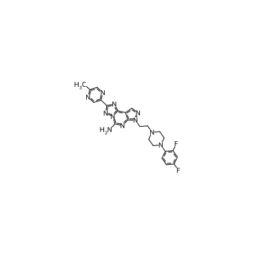 Cc1cnc(-c2nc3c4cnn(CCN5CCN(c6ccc(F)cc6F)CC5)c4nc(N)n3n2)cn1